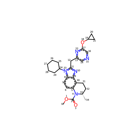 COC(=O)N1c2ccc3c(nc(Cc4cncc(OC5CC5)n4)n3C3CCCCC3)c2CC[C@@H]1C